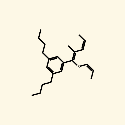 C/C=C\S/C(=C(C)\C=C/C)c1cc(CCCC)cc(CCCC)c1